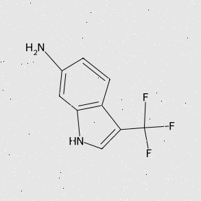 Nc1ccc2c(C(F)(F)F)c[nH]c2c1